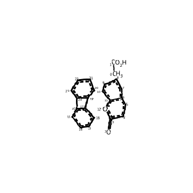 CC(=O)O.O=c1ccc2ccccc2o1.c1ccc2c(c1)-c1ccccc1-2